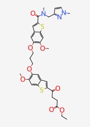 CCOC(=O)CCC(=O)c1cc2cc(OCCCOc3cc4cc(C(=O)N(C)Cc5ccn(C)n5)sc4cc3OC)c(OC)cc2s1